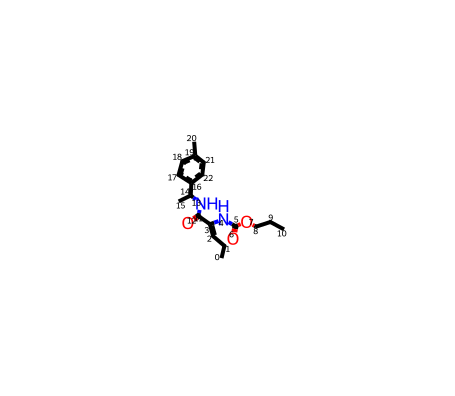 CC/C=C(\NC(=O)OCCC)C(=O)NC(C)c1ccc(C)cc1